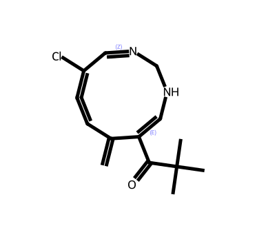 C=C1C=C=C(Cl)/C=N\CN/C=C\1C(=O)C(C)(C)C